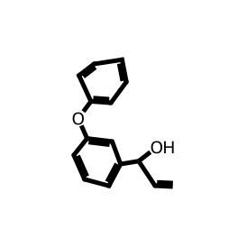 C=CC(O)c1cccc(Oc2ccccc2)c1